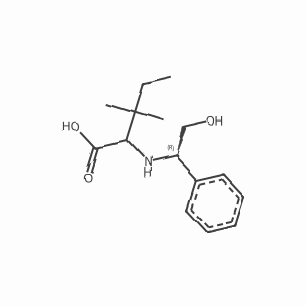 CCC(C)(C)C(N[C@@H](CO)c1ccccc1)C(=O)O